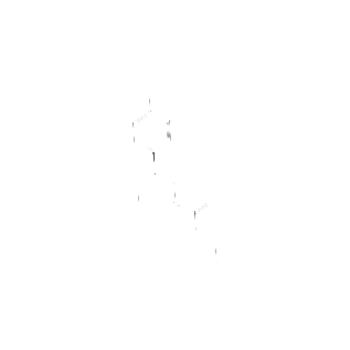 CCOC(=O)N1CCO[C@@H](c2ccc(F)cc2)C1